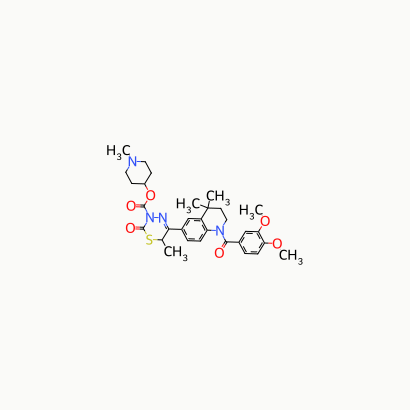 COc1ccc(C(=O)N2CCC(C)(C)c3cc(C4=NN(C(=O)OC5CCN(C)CC5)C(=O)SC4C)ccc32)cc1OC